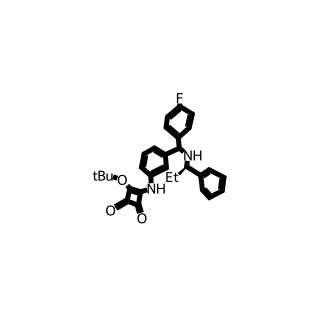 CC[C@@H](NC(c1ccc(F)cc1)c1cccc(Nc2c(OC(C)(C)C)c(=O)c2=O)c1)c1ccccc1